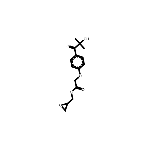 CC(C)(O)C(=O)c1ccc(OCC(=O)OCC2CO2)cc1